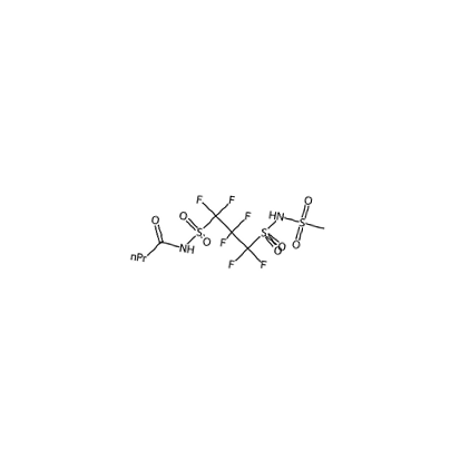 CCCC(=O)NS(=O)(=O)C(F)(F)C(F)(F)C(F)(F)S(=O)(=O)NS(C)(=O)=O